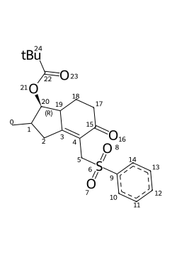 CC1CC2=C(CS(=O)(=O)c3ccccc3)C(=O)CCC2[C@@H]1OC(=O)C(C)(C)C